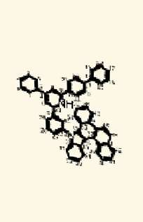 C1=C(c2ccccc2)C=C(c2ccc(-c3ccccc3)cc2)NC1c1cccc(-n2c3ccccc3c3c4c5ccccc5ccc4c4ccccc4c32)c1